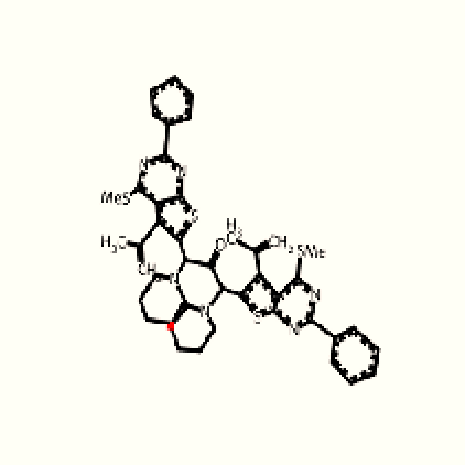 C=C(C)c1c(C(C(=O)C(c2sc3nc(-c4ccccc4)nc(SC)c3c2C(=C)C)N2CCCCC2)N2CCCCC2)sc2nc(-c3ccccc3)nc(SC)c12